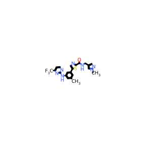 Cc1cc(Nc2nccc(C(F)(F)F)n2)cc(-c2cnc(C(=O)NCc3cnn(C)c3)s2)c1